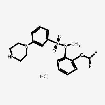 CN(c1ccccc1OC(F)F)S(=O)(=O)c1cccc(N2CCNCC2)c1.Cl